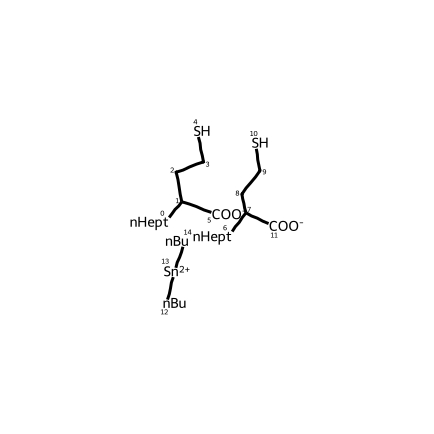 CCCCCCCC(CCS)C(=O)[O-].CCCCCCCC(CCS)C(=O)[O-].CCC[CH2][Sn+2][CH2]CCC